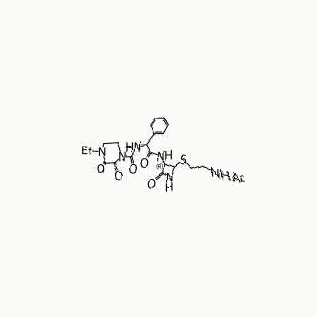 CCN1CCN(C(=O)NC(C(=O)N[C@@H]2C(=O)NC2SCCNC(C)=O)c2ccccc2)C(=O)C1=O